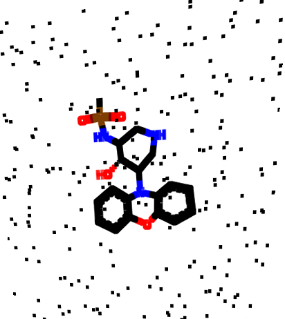 CS(=O)(=O)NC1CNCC(N2c3ccccc3Oc3ccccc32)[C@@H]1O